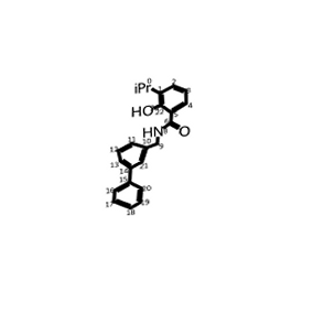 CC(C)c1cccc(C(=O)NCc2cccc(-c3ccccc3)c2)c1O